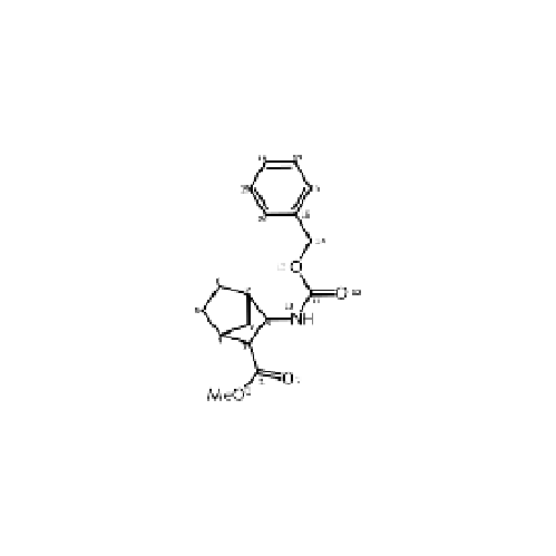 COC(=O)C1C2CCC(C2)C1NC(=O)OCc1ccccc1